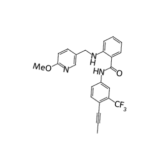 CC#Cc1ccc(NC(=O)c2ccccc2NCc2ccc(OC)nc2)cc1C(F)(F)F